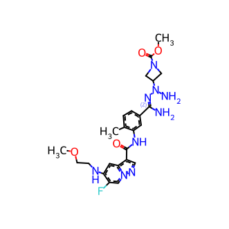 COCCNc1cc2c(C(=O)Nc3cc(/C(N)=N/N(N)C4CN(C(=O)OC)C4)ccc3C)cnn2cc1F